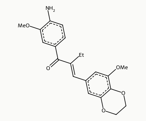 CC/C(=C\c1cc(OC)c2c(c1)OCCO2)C(=O)c1ccc(N)c(OC)c1